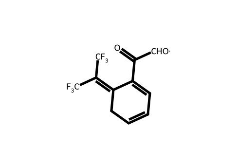 O=[C]C(=O)C1=CC=CCC1=C(C(F)(F)F)C(F)(F)F